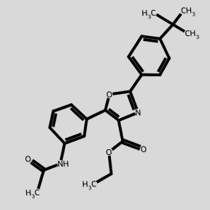 CCOC(=O)c1nc(-c2ccc(C(C)(C)C)cc2)oc1-c1cccc(NC(C)=O)c1